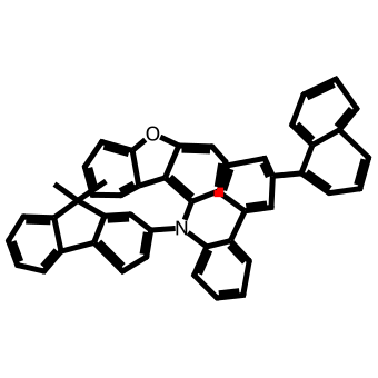 CC1(C)c2ccccc2-c2ccc(N(c3ccccc3-c3cccc(-c4cccc5ccccc45)c3)c3cccc4oc5ccccc5c34)cc21